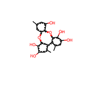 Cc1cc(O)c2oc3c(O)c(O)cc(C)c3c3c(C)cc(O)c(O)c3oc2c1